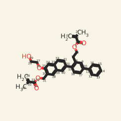 C=C(C)C(=O)OCCc1cc(-c2ccccc2)ccc1-c1ccc2cc(OCCO)c(COC(=O)C(=C)C)cc2c1